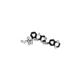 CS(=O)(=O)Nc1ccccc1Nc1nc(Nc2ccc3c(c2)OCCO3)ncc1F